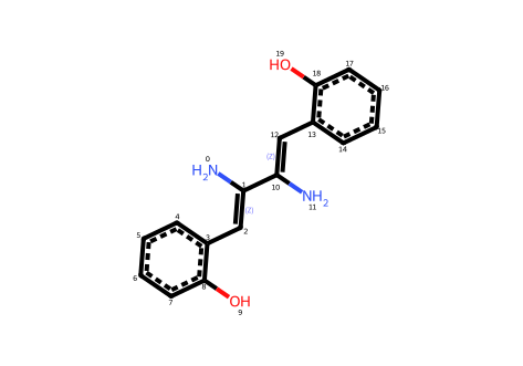 NC(=C\c1ccccc1O)/C(N)=C/c1ccccc1O